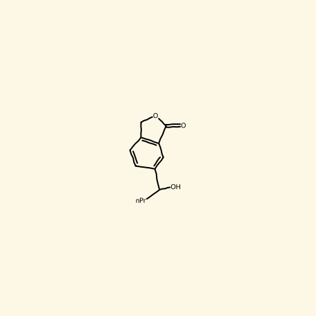 CCCC(O)c1ccc2c(c1)C(=O)OC2